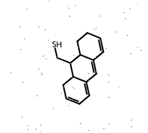 SCC1C2CC=CC=C2C=C2C=CCCC21